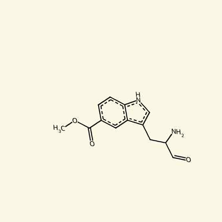 COC(=O)c1ccc2[nH]cc(CC(N)C=O)c2c1